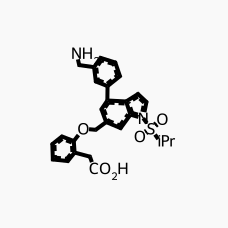 CC(C)S(=O)(=O)n1ccc2c(-c3cccc(CN)c3)cc(COc3ccccc3CC(=O)O)cc21